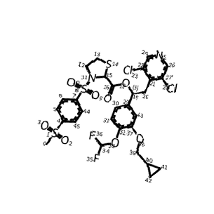 CS(=O)(=O)c1ccc(S(=O)(=O)N2CCSC2C(=O)O[C@@H](Cc2c(Cl)cncc2Cl)c2ccc(OC(F)F)c(OCC3CC3)c2)cc1